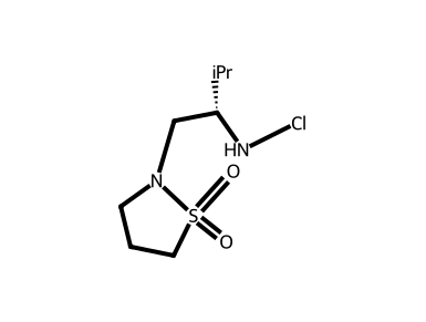 CC(C)[C@@H](CN1CCCS1(=O)=O)NCl